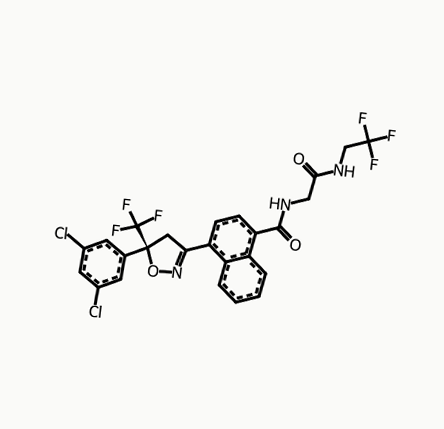 O=C(CNC(=O)c1ccc(C2=NO[C@@](c3cc(Cl)cc(Cl)c3)(C(F)(F)F)C2)c2ccccc12)NCC(F)(F)F